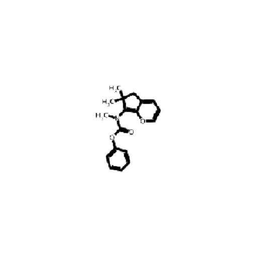 CN(C(=O)Oc1ccccc1)C1=C2OC=CC=C2CC1(C)C